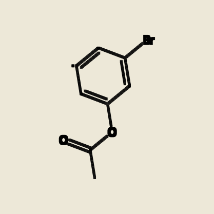 CC(=O)Oc1c[c]cc(Br)c1